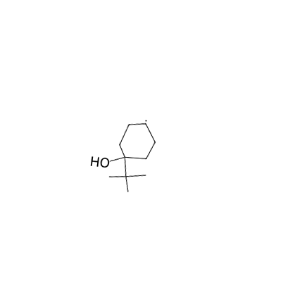 CC(C)(C)C1(O)CC[CH]CC1